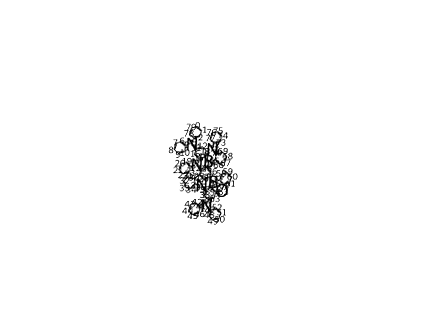 c1ccc(N(c2ccccc2)c2cc3c4c(c2)N(c2ccccc2)c2c(cc5c6c2c2ccccc2n6-c2cc(N(c6ccccc6)c6ccccc6)cc6c2B5c2ccccc2O6)B4c2ccccc2N3c2ccccc2)cc1